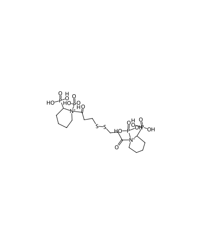 O=C(CCSSCCC(=O)[N+]1(P(=O)(O)O)CCCCC1P(=O)(O)O)[N+]1(P(=O)(O)O)CCCCC1P(=O)(O)O